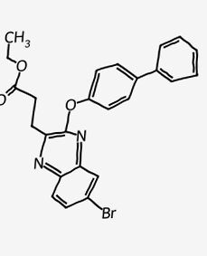 CCOC(=O)CCc1nc2ccc(Br)cc2nc1Oc1ccc(-c2ccccc2)cc1